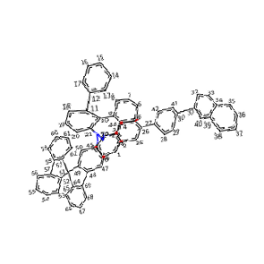 c1ccc(-c2ccccc2-c2c(-c3ccccc3)cccc2N(c2ccc(-c3ccc(-c4ccc5ccccc5c4)cc3)cc2)c2ccc3c(c2)C2(c4ccccc4-c4ccccc42)c2ccccc2-3)cc1